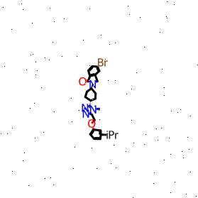 CC(C)c1cccc(OCc2nnc([C@H]3CC[C@H](N4Cc5cc(Br)ccc5C4=O)CC3)n2C)c1